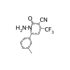 Cc1cccc(-c2cc(C(F)(F)F)c(C#N)c(=O)n2N)c1